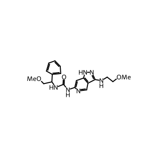 COCCNc1n[nH]c2cc(NC(=O)NC(COC)c3ccccc3)ncc12